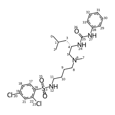 CC(C)C[C@@H](CN(C)CCCCNS(=O)(=O)c1ccc(Cl)cc1Cl)NC(=O)Nc1ccccc1